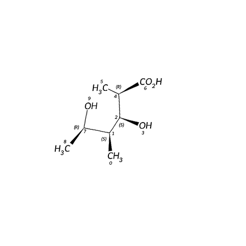 C[C@H]([C@H](O)[C@@H](C)C(=O)O)[C@@H](C)O